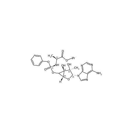 CC(C)OC(=O)[C@H](C)N[P@@](=O)(Oc1ccccc1)OC1[C@H]2O[C@@H](n3cnc4c(N)ncnc43)[C@](C)(O)[C@@]12O